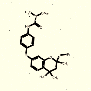 CON(C)C(=O)Nc1ccc(Oc2ccc3c(c2)OC(C)(OC(C)C)CC3(C)C)cc1